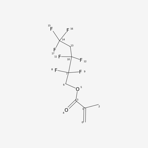 C=C(C)C(=O)OCC(F)(F)C(F)(F)CC(F)(F)F